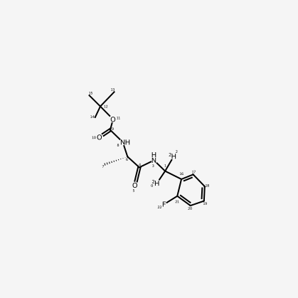 [2H]C([2H])(NC(=O)[C@H](C)NC(=O)OC(C)(C)C)c1ccccc1F